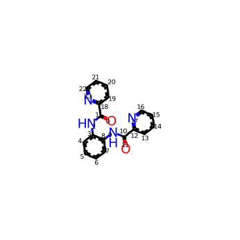 O=C(Nc1ccccc1NC(=O)c1ccccn1)c1ccccn1